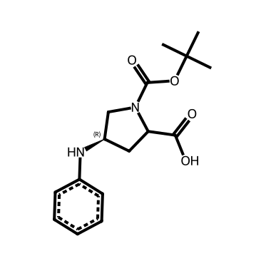 CC(C)(C)OC(=O)N1C[C@H](Nc2ccccc2)CC1C(=O)O